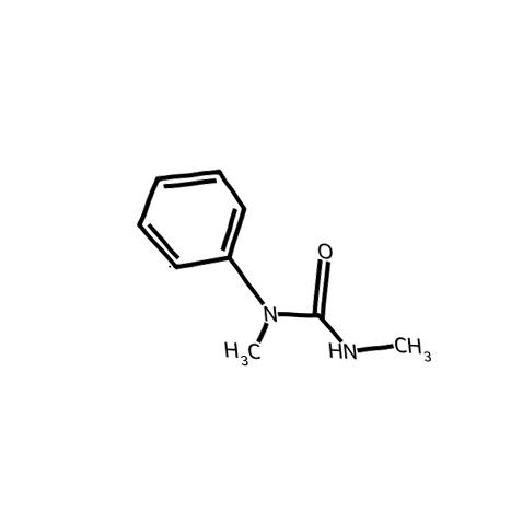 CNC(=O)N(C)c1[c]cccc1